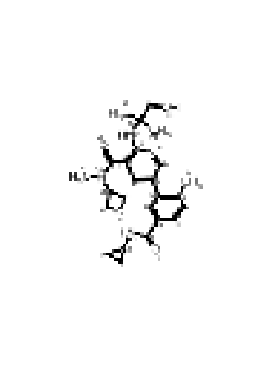 Cc1ccc(C(=O)NC2CC2)cc1-c1cnc(NC(C)(C)CO)c(C(=O)N(C)C2COC2)c1